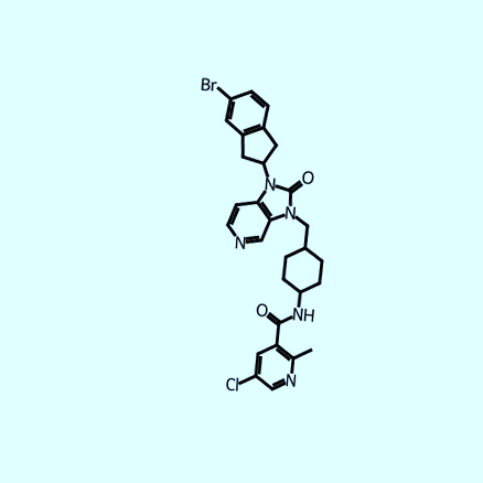 Cc1ncc(Cl)cc1C(=O)NC1CCC(Cn2c(=O)n(C3Cc4ccc(Br)cc4C3)c3ccncc32)CC1